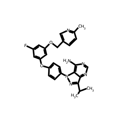 Cc1ccc(COc2cc(F)cc(Oc3ccc(-n4nc(C(C)C)c5ncnc(N)c54)cc3)c2)cn1